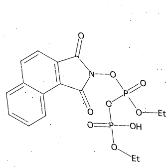 CCOP(=O)(O)OP(=O)(OCC)ON1C(=O)c2ccc3ccccc3c2C1=O